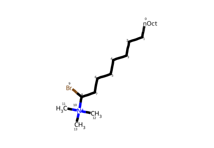 CCCCCCCCCCCCCCCC(Br)[N+](C)(C)C